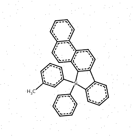 Cc1cccc([Si]2(c3ccccc3)c3ccccc3-c3ccc4c(ccc5ccccc54)c32)c1